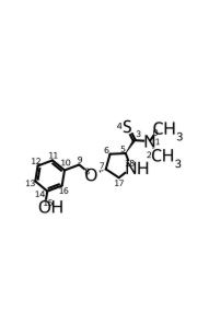 CN(C)C(=S)[C@@H]1C[C@@H](OCc2cccc(O)c2)CN1